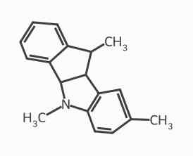 Cc1ccc2c(c1)C1C(C)c3ccccc3C1N2C